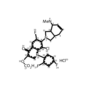 CNC1C=CCC2CN(c3c(F)cc4c(=O)c(OC(=O)O)cn(-c5ccc(F)cc5F)c4c3Cl)CC21.Cl